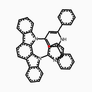 C1=C(c2ccccc2)NC(c2ccccc2)C=C1n1c2ccccc2c2ccc3c4ccccc4n(-c4ccccn4)c3c21